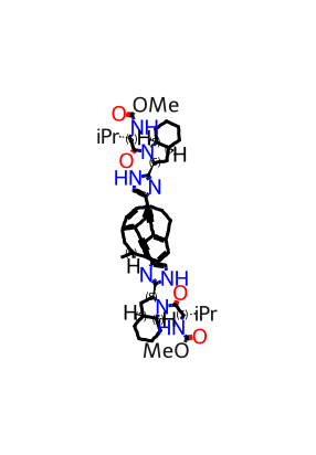 COC(=O)N[C@H](C(=O)N1[C@H](c2nc(C#Cc3cc4ccc3CCc3ccc(c(C#Cc5c[nH]c([C@@H]6C[C@@H]7CCCC[C@@H]7N6C(=O)[C@@H](NC(=O)OC)C(C)C)n5)c3)C[C@H]4C)c[nH]2)C[C@@H]2CCCC[C@@H]21)C(C)C